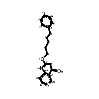 O=C1CC(OCCCCCc2ccccc2)=Nc2ccncc21